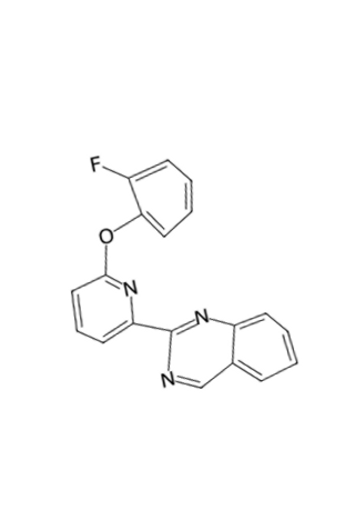 Fc1ccccc1Oc1cccc(-c2ncc3ccccc3n2)n1